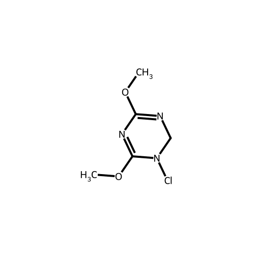 COC1=NCN(Cl)C(OC)=N1